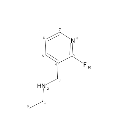 CCNCc1cccnc1F